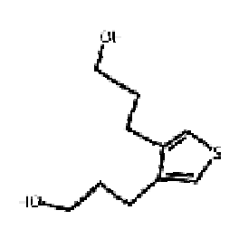 OCCCc1cscc1CCCO